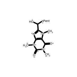 CCCCCC(O)c1nc2c(c(=O)n(C)c(=O)n2C)n1C